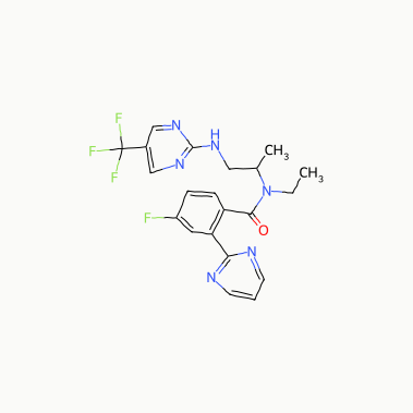 CCN(C(=O)c1ccc(F)cc1-c1ncccn1)C(C)CNc1ncc(C(F)(F)F)cn1